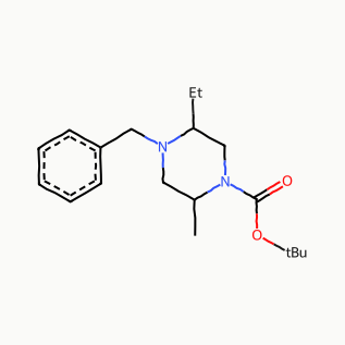 CCC1CN(C(=O)OC(C)(C)C)C(C)CN1Cc1ccccc1